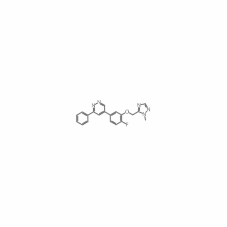 Cn1ncnc1COc1cc(-c2cnnc(-c3ccccc3)c2)ccc1F